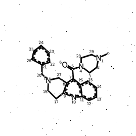 CN1CCN(C(=O)c2c3c(nc4ccccc24)CCN(Cc2ccccc2)C3)CC1